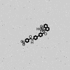 O=C(Nc1ccc(-c2ccc(C(=O)Nc3cccc4cccc(S(=O)(=O)O)c34)cc2)cc1)c1ccc([N+](=O)[O-])cc1